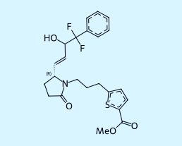 COC(=O)c1ccc(CCCN2C(=O)CC[C@@H]2C=CC(O)C(F)(F)c2ccccc2)s1